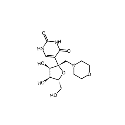 O=c1[nH]cc([C@]2(CN3CCOCC3)O[C@H](CO)[C@@H](O)[C@H]2O)c(=O)[nH]1